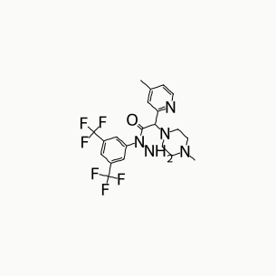 Cc1ccnc(C(C(=O)N(N)c2cc(C(F)(F)F)cc(C(F)(F)F)c2)N2CCN(C)CC2)c1